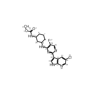 COC(=O)NC1CCCC(Nc2nc(-c3c[nH]c4ncc(Cl)cc34)ncc2F)C1